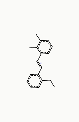 CCc1ccccc1/C=C/c1cccc(C)c1C